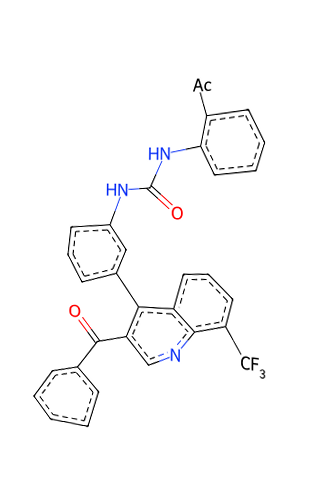 CC(=O)c1ccccc1NC(=O)Nc1cccc(-c2c(C(=O)c3ccccc3)cnc3c(C(F)(F)F)cccc23)c1